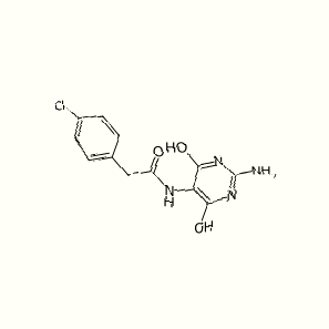 Nc1nc(O)c(NC(=O)Cc2ccc(Cl)cc2)c(O)n1